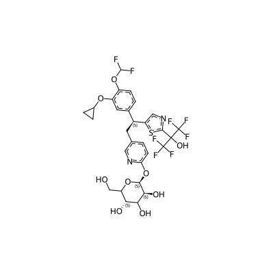 OCC1O[C@@H](Oc2ccc(C[C@@H](c3ccc(OC(F)F)c(OC4CC4)c3)c3cnc(C(O)(C(F)(F)F)C(F)(F)F)s3)cn2)[C@@H](O)C(O)[C@@H]1O